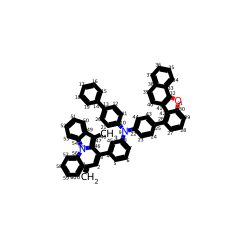 C=C/C=C(/c1cccc(N(c2ccc(-c3ccccc3)cc2)c2ccc(-c3cccc4oc5c6ccccc6ccc5c34)cc2)c1)c1c(C)c2ccccc2n1-c1ccccc1